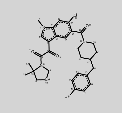 Cn1cc(C(=O)C(=O)N2CNCC2(C)C)c2cc(C(=O)N3CCC(Cc4ccc(F)cc4)CC3)c(Cl)cc21